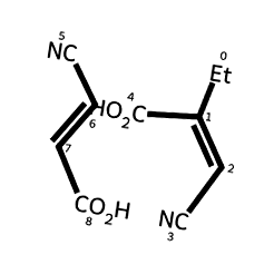 CCC(=CC#N)C(=O)O.N#CC=CC(=O)O